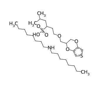 CC(C)CC(CCOCC1COc2cscc2O1)S(=O)(=O)O.CCCCCCCCNCCCCCCCC